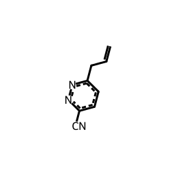 C=CCc1ccc(C#N)nn1